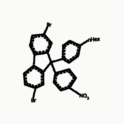 CCCCCCc1ccc(C2(c3ccc([N+](=O)[O-])cc3)c3cc(Br)ccc3-c3ccc(Br)cc32)cc1